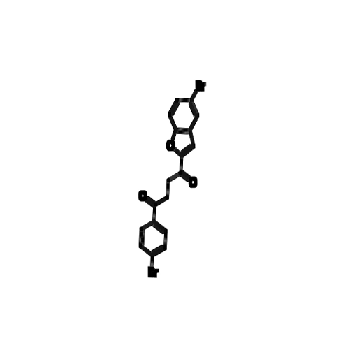 O=C(CCC(=O)c1cc2cc(Br)ccc2o1)c1ccc(Br)cc1